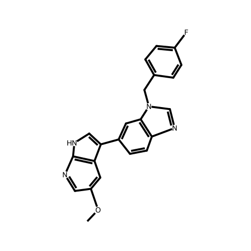 COc1cnc2[nH]cc(-c3ccc4ncn(Cc5ccc(F)cc5)c4c3)c2c1